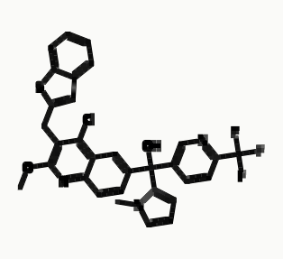 COc1nc2ccc(C(O)(c3ccc(C(F)(F)F)nc3)c3cccn3C)cc2c(Cl)c1Cc1cc2ccccc2s1